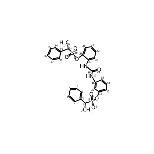 CC(c1ccccc1)S(=O)(=O)Oc1cccc(NC(=O)Nc2ccccc2OS(=O)(=O)C(C)c2ccccc2)c1